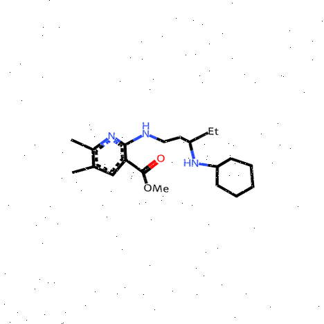 CCC(CCNc1nc(C)c(C)cc1C(=O)OC)NC1CCCCC1